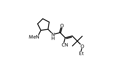 CCOC(C)(C)/C=C(\C#N)C(=O)NC1CCCC1NC